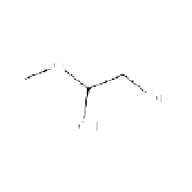 CO[C](O)CO